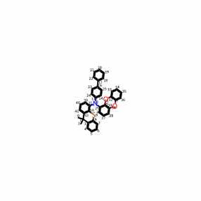 CC1(C)c2ccccc2Sc2c(N(c3ccc(-c4ccccc4)cc3)c3cccc4c3Oc3ccccc3O4)cccc21